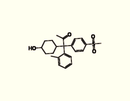 CC(=O)C(c1ccc(S(C)(=O)=O)cc1)(c1ccccc1C)C1CCC(O)CC1